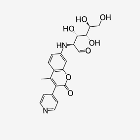 Cc1c(-c2ccncc2)c(=O)oc2cc(N[C@H](C=O)[C@H](O)[C@@H](O)[C@@H](O)CO)ccc12